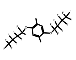 Cc1cc(OC(F)(F)C(F)(F)C(F)(F)C(F)(F)F)c(C)cc1OC(F)(F)C(F)(F)C(F)(F)C(F)(F)F